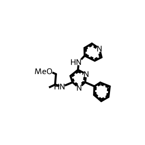 COCC(C)Nc1cc(Nc2ccncc2)nc(-c2ccccc2)n1